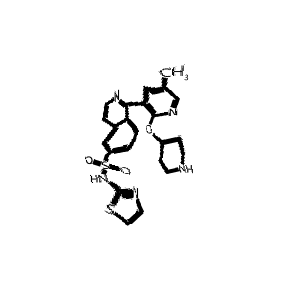 Cc1cnc(OC2CCNCC2)c(-c2nccc3cc(S(=O)(=O)Nc4nccs4)ccc23)c1